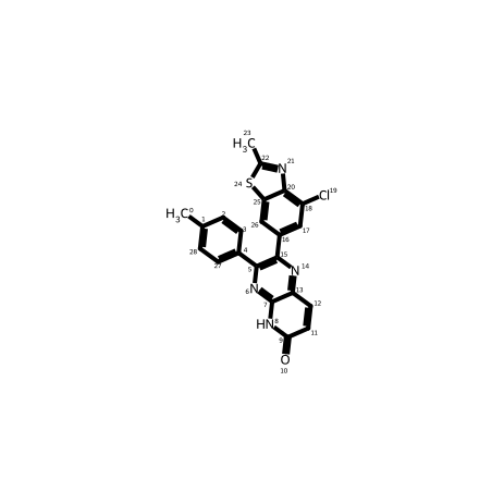 Cc1ccc(-c2nc3[nH]c(=O)ccc3nc2-c2cc(Cl)c3nc(C)sc3c2)cc1